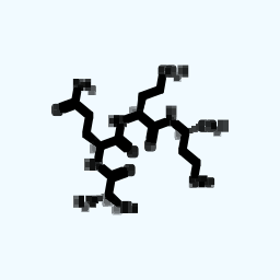 CC[C@H](C)[C@H](N)C(=O)N[C@@H](CCC(N)=O)C(=O)N[C@@H](CCC(=O)O)C(=O)N[C@@H](CCSC)C(=O)O